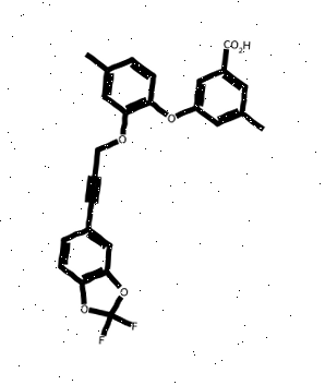 Cc1cc(Oc2ccc(C)cc2OCC#Cc2ccc3c(c2)OC(F)(F)O3)cc(C(=O)O)c1